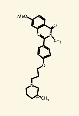 COc1ccc2c(=O)n(C)c(-c3ccc(OCCCN4CCC[C@H](C)C4)cc3)nc2c1